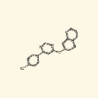 N#Cc1ccc(-c2cc(Oc3ccc4cccnc4c3)ncn2)cc1